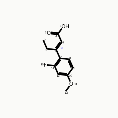 CC/C(=C\C(=O)O)c1ccc(OC)cc1F